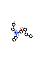 Cc1ccc(-c2cccc(-c3nc(-c4ccc5ccccc5c4)nc(-c4ccc5c(c4)oc4cccc(-c6cccc(-c7ccccc7)c6)c45)n3)c2)cc1